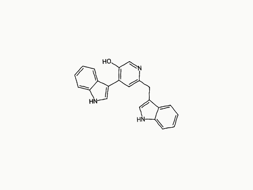 Oc1cnc(Cc2c[nH]c3ccccc23)cc1-c1c[nH]c2ccccc12